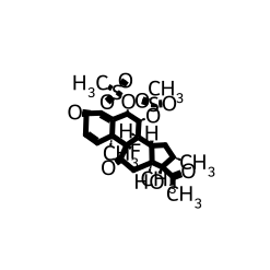 CC(=O)[C@@]1(O)[C@@H](C)C[C@H]2[C@@H]3[C@@H](OS(C)(=O)=O)[C@@H](OS(C)(=O)=O)C4=CC(=O)C=C[C@]4(C)[C@@]3(F)C(=O)C[C@@]21C